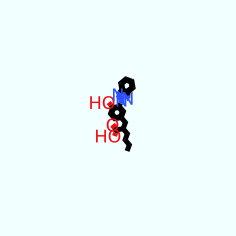 CCCCC(Cc1ccc(O)c(-n2nc3ccccc3n2)c1)C(=O)O